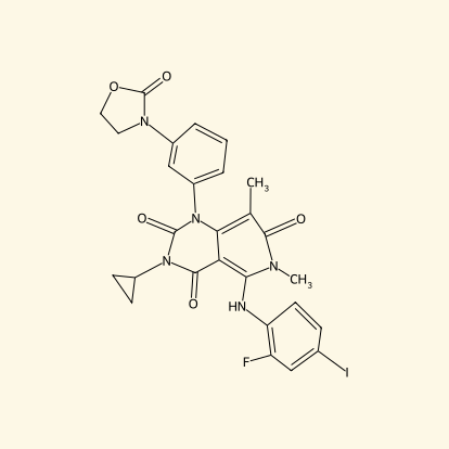 Cc1c(=O)n(C)c(Nc2ccc(I)cc2F)c2c(=O)n(C3CC3)c(=O)n(-c3cccc(N4CCOC4=O)c3)c12